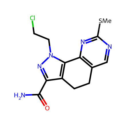 CSc1ncc2c(n1)-c1c(c(C(N)=O)nn1CCCl)CC2